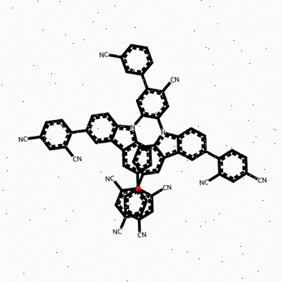 N#Cc1cccc(-c2cc(-n3c4ccc(-c5ccc(C#N)cc5C#N)cc4c4cc(-c5ccc(C#N)cc5C#N)ccc43)c(-n3c4ccc(-c5ccc(C#N)cc5C#N)cc4c4cc(-c5ccc(C#N)cc5C#N)ccc43)cc2C#N)c1